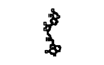 O=C1COc2ccc(N3C[C@@H](CCNCC4Cn5c(=O)cnc6cccc4c65)OC3=O)cc2N1